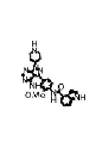 COc1cc(-c2nn(C3CCNCC3)c3ncnc(N)c23)ccc1NC(=O)c1cccc2[nH]ccc12